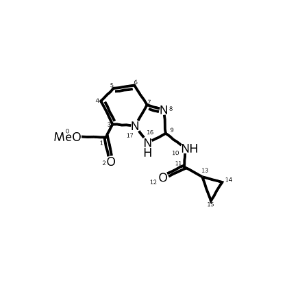 COC(=O)C1=CC=CC2=NC(NC(=O)C3CC3)NN12